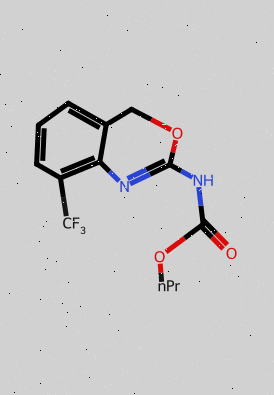 CCCOC(=O)NC1=Nc2c(cccc2C(F)(F)F)CO1